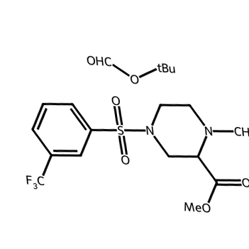 CC(C)(C)OC=O.COC(=O)C1CN(S(=O)(=O)c2cccc(C(F)(F)F)c2)CCN1C